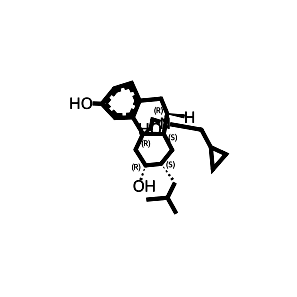 CC(C)C[C@H]1C[C@@]2(O)[C@H]3Cc4ccc(O)cc4[C@@]2(CCN3CC2CC2)C[C@H]1O